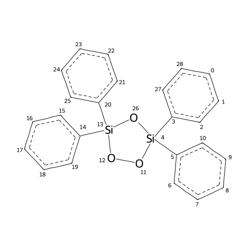 c1ccc([Si]2(c3ccccc3)OO[Si](c3ccccc3)(c3ccccc3)O2)cc1